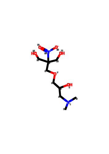 CN(C)CC(O)COCC(CO)(CO)[N+](=O)[O-]